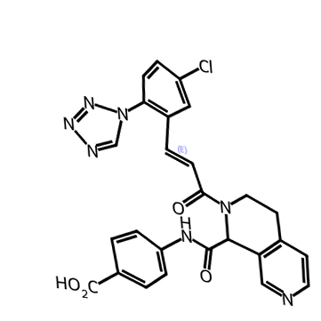 O=C(O)c1ccc(NC(=O)C2c3cnccc3CCN2C(=O)/C=C/c2cc(Cl)ccc2-n2cnnn2)cc1